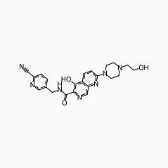 N#Cc1ccc(CNC(=O)c2ncc3nc(N4CCN(CCO)CC4)ccc3c2O)cn1